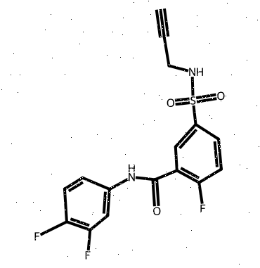 C#CCNS(=O)(=O)c1ccc(F)c(C(=O)Nc2ccc(F)c(F)c2)c1